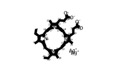 CCC1=C(C)c2cc3[nH]c(cc4nc(cc5[nH]c(cc1n2)c(C)c5CCC(=O)[O-])C(CCC(=O)[O-])=C4C)c(C)c3CC.[Ag+].[Ag+]